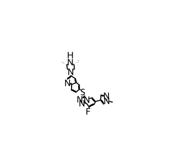 C[C@@H]1CN(c2cnc3ccc(Sc4nnc5c(F)cc(-c6cnn(C)c6)cn45)cc3c2)C[C@H](C)N1